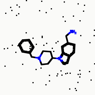 NCc1ccc2ccn(C3CCN(Cc4ccccc4)CC3)c2c1